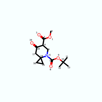 COC(=O)C1CN(C(=O)OC(C)(C)C)C2(CC2)CC1=O